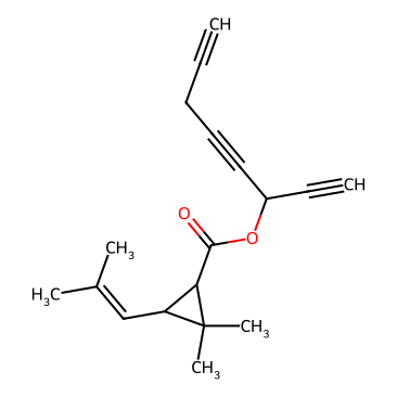 C#CCC#CC(C#C)OC(=O)C1C(C=C(C)C)C1(C)C